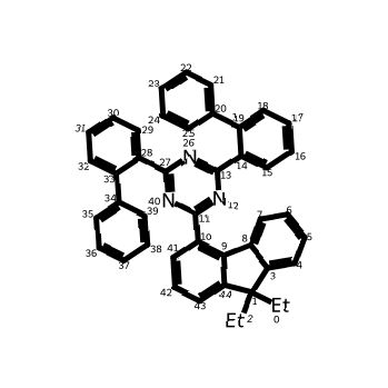 CCC1(CC)c2ccccc2-c2c(-c3nc(-c4ccccc4-c4ccccc4)nc(-c4ccccc4-c4ccccc4)n3)cccc21